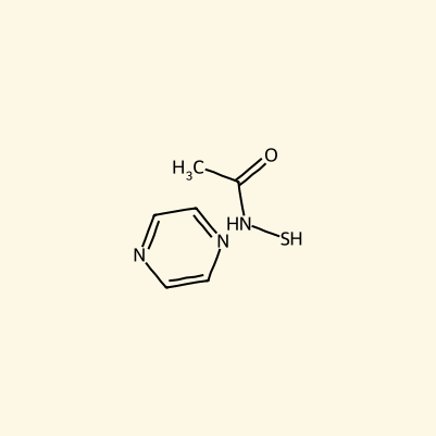 CC(=O)NS.c1cnccn1